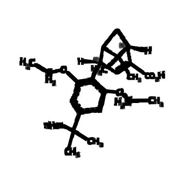 CCCCCCC(C)(C)c1cc(O[SiH2]C)c([C@H]2C=C(C(=O)O)[C@H]3CC2C3(C)C)c(O[SiH2]C)c1